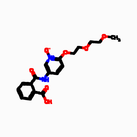 COCCOCCOc1ccc(NC(=O)c2ccccc2C(=O)O)c[n+]1[O-]